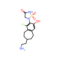 NCCC1CCc2cc(O)c(N3CC(=O)NS3(=O)=O)c(F)c2CC1